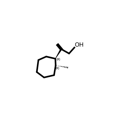 C=C(CO)[C@@H]1CCCCC[C@H]1C